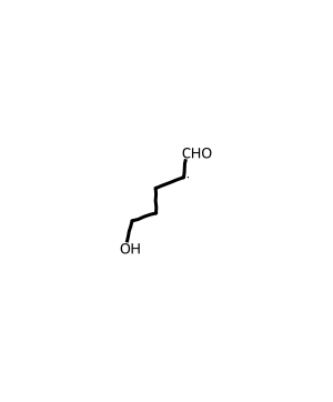 O=C[CH]CCCO